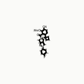 COc1c(C#N)ccc(C2(F)CCC2)c1C(=O)N1Cc2cn(-c3ccc(F)cc3)nc2C1